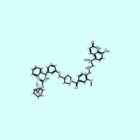 COc1cc(C(=O)N2CCC(COc3cccc([C@@H](NC(=O)O[C@H]4CN5CCC4CC5)c4ccccc4)c3)CC2)ccc1CNC[C@H](O)c1ccc(O)c2[nH]c(=O)ccc12